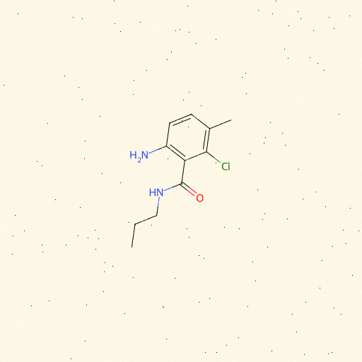 CCCNC(=O)c1c(N)ccc(C)c1Cl